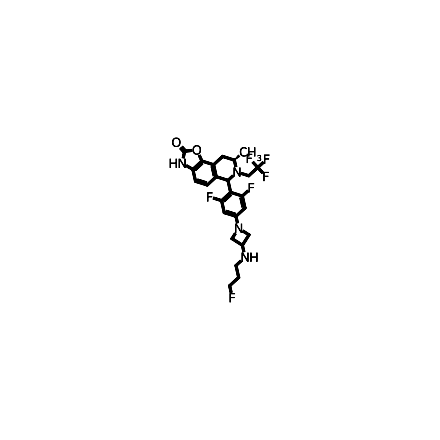 C[C@@H]1Cc2c(ccc3[nH]c(=O)oc23)C(c2c(F)cc(N3CC(NCCCF)C3)cc2F)N1CC(F)(F)F